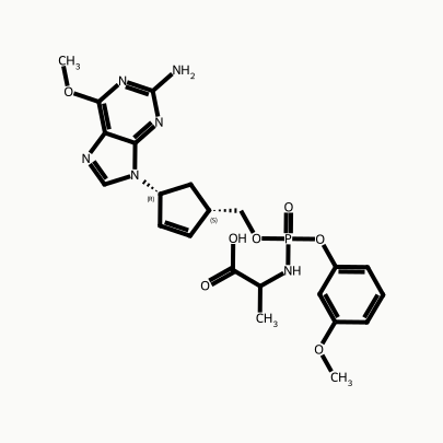 COc1cccc(OP(=O)(NC(C)C(=O)O)OC[C@@H]2C=C[C@H](n3cnc4c(OC)nc(N)nc43)C2)c1